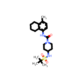 Cc1ccc(NC(=O)N2CCC(NS(=O)(=O)C(C)(C)C)CC2)c2c1CCCC2